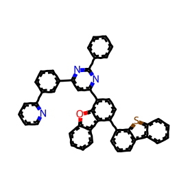 c1ccc(-c2nc(-c3cccc(-c4ccccn4)c3)cc(-c3ccc(-c4cccc5c4sc4ccccc45)c4c3oc3ccccc34)n2)cc1